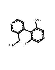 COc1cccc(F)c1-c1ccncc1CN